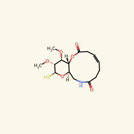 CO[C@@H]1[C@@H](OC)[C@H](S)O[C@@H]2CNC(=O)CC/C=C\CC(=O)O[C@@H]12